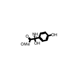 COC(=O)[C@@](N)(O)c1ccc(O)cc1